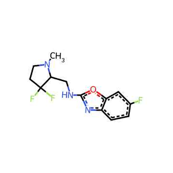 CN1CCC(F)(F)C1CNc1nc2ccc(F)cc2o1